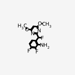 COc1cc(OC)nc(C(F)c2ccc(F)c(F)c2N)n1